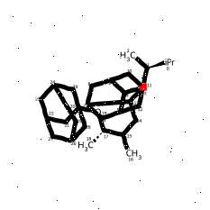 CC(C)[C@H](C)OC1C2CC3CC1CC(C2)C3CC(C)[C@H](C)OC12CC3CC(CC(C3)C1)C2